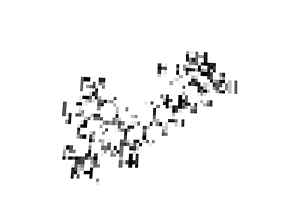 C[C@@H](Oc1cc(-n2cnc3cc(-c4ccc(N5CCN(C(=O)O)C(C(C)(C)C)C5)nc4)ccc32)sc1C(N)=O)c1ccccc1C(F)(F)F